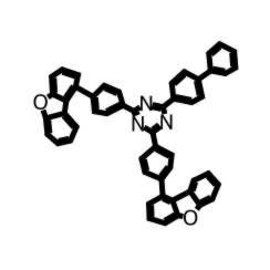 c1ccc(-c2ccc(-c3nc(-c4ccc(-c5cccc6oc7ccccc7c56)cc4)nc(-c4ccc(-c5cccc6oc7ccccc7c56)cc4)n3)cc2)cc1